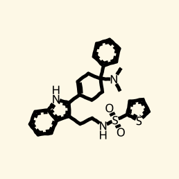 CN(C)C1(c2ccccc2)CC=C(c2[nH]c3ccccc3c2CCNS(=O)(=O)c2cccs2)CC1